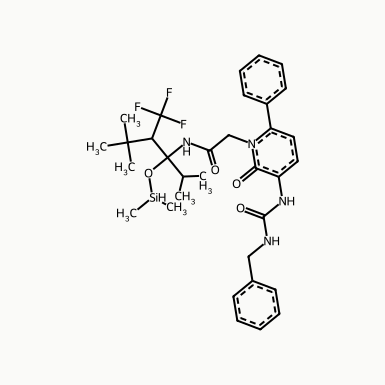 CC(C)C(NC(=O)Cn1c(-c2ccccc2)ccc(NC(=O)NCc2ccccc2)c1=O)(O[SiH](C)C)C(C(C)(C)C)C(F)(F)F